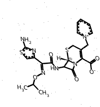 CC(C)ON=C(C(=O)NC1C(=O)N2C(C(=O)[O-])=C(C[n+]3ccccc3)CS[C@@H]12)c1csc(N)n1